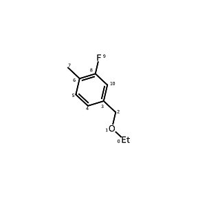 CCOCc1ccc(C)c(F)c1